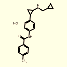 Cl.O=C(Nc1ccc(C2CC2NCC2CC2)cc1)c1ccc(C(F)(F)F)cc1